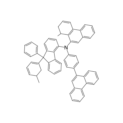 CC1C=CC=C(C2(c3ccccc3)c3ccccc3-c3c(N(c4ccc(-c5cc6ccccc6c6ccccc56)cc4)c4cc5ccccc5c5c4C(C)CC=C5)cccc32)C1